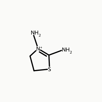 NC1=[N+](N)CCS1